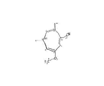 CC1=C[C@@H](C)C=C(OC(F)(F)F)C=C1C#N